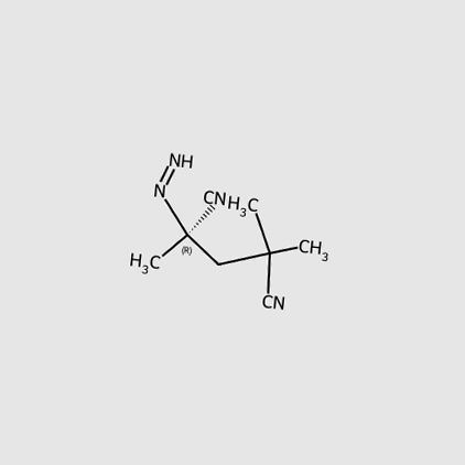 CC(C)(C#N)C[C@](C)(C#N)N=N